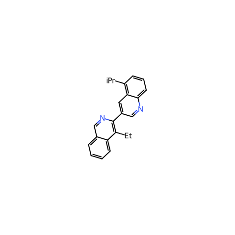 CCc1c(-c2cnc3cccc(C(C)C)c3c2)ncc2ccccc12